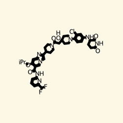 CC(C)Oc1cc2nc(C3CCN(C(=O)CC4(O)CCN(c5ccc(NC6CCC(=O)NC6=O)cc5Cl)CC4)CC3)cn2cc1C(=O)Nc1cccc(C(F)F)n1